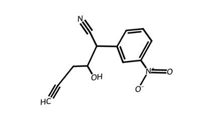 C#CCC(O)C(C#N)c1cccc([N+](=O)[O-])c1